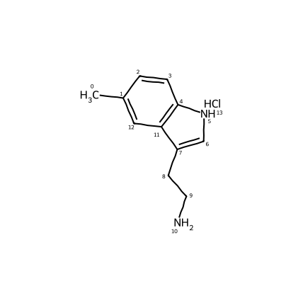 Cc1ccc2[nH]cc(CCN)c2c1.Cl